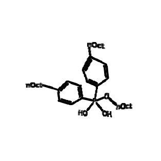 CCCCCCCCOP(O)(O)(c1ccc(CCCCCCCC)cc1)c1ccc(CCCCCCCC)cc1